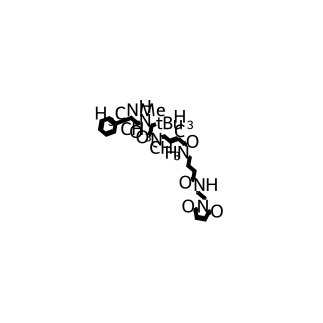 CN[C@H](C(=O)NC(C(=O)N(C)C/C=C(\C)C(=O)NCCCC(=O)NCCN1C(=O)C=CC1=O)C(C)(C)C)C(C)(C)c1ccccc1